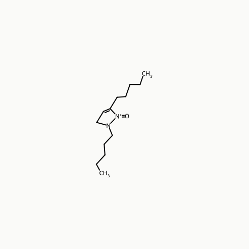 CCCCCC1=CCN(CCCCC)[N+]1=O